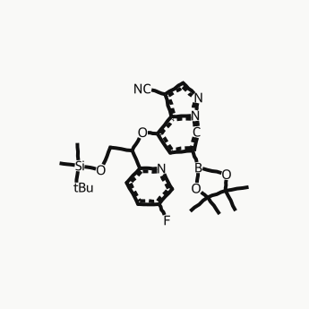 CC1(C)OB(c2cc(OC(CO[Si](C)(C)C(C)(C)C)c3ccc(F)cn3)c3c(C#N)cnn3c2)OC1(C)C